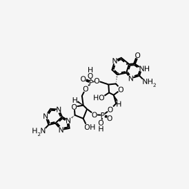 Nc1nc2c([C@@H]3O[C@@H]4COP(=O)(O)OC5C(O)[C@H](n6cnc7c(N)ncnc76)O[C@@H]5COP(=O)(O)OC3C4O)cncc2c(=O)[nH]1